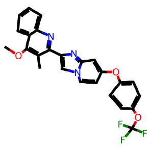 COc1c(C)c(-c2cn3ccc(Oc4ccc(OC(F)(F)F)cc4)cc3n2)nc2ccccc12